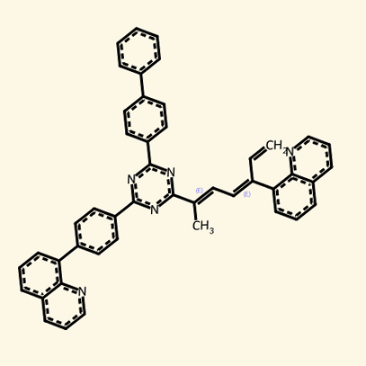 C=C/C(=C\C=C(/C)c1nc(-c2ccc(-c3ccccc3)cc2)nc(-c2ccc(-c3cccc4cccnc34)cc2)n1)c1cccc2cccnc12